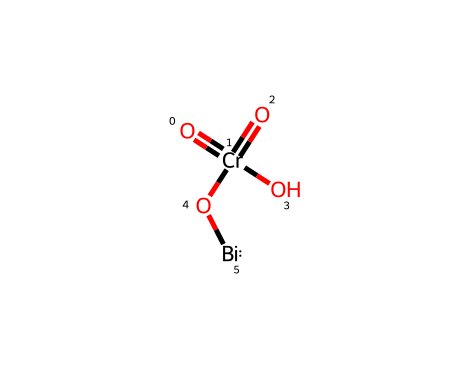 [O]=[Cr](=[O])([OH])[O][Bi]